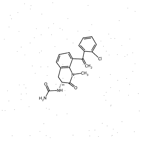 C=C(c1ccccc1Cl)c1cccc2c1N(C)C(=O)[C@H](NC(N)=O)C2